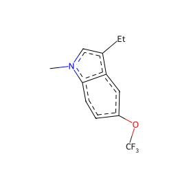 CCc1cn(C)c2ccc(OC(F)(F)F)cc12